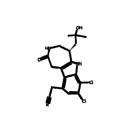 CC(C)(O)C[C@H]1CNC(=O)Cc2c1[nH]c1c(Cl)c(Cl)cc(CC#N)c21